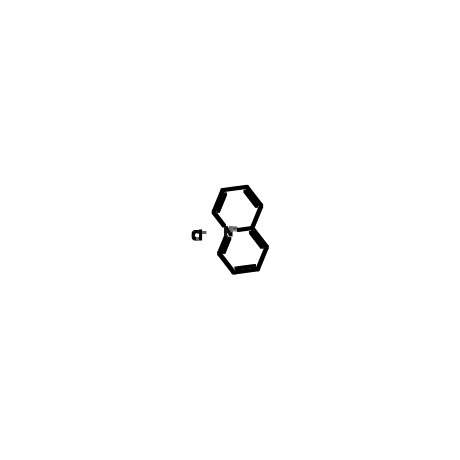 [Cl-].c1cc[n+]2ccccc2c1